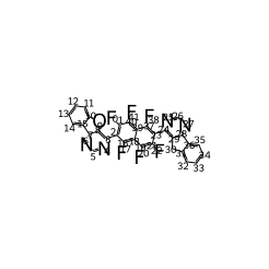 Fc1c(-c2ncnc3c2oc2ccccc23)c(F)c2c(F)c(F)c(-c3ncnc4c3Cc3ccccc3-4)c(F)c2c1F